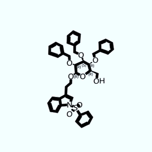 O=S(=O)(c1ccccc1)n1cc(CCO[C@@H]2O[C@H](CO)[C@@H](OCc3ccccc3)[C@H](OCc3ccccc3)[C@H]2OCc2ccccc2)c2ccccc21